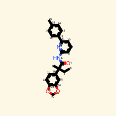 CCC(C)(C(=O)Nc1cccc(-c2ccc(C)cc2)n1)c1ccc2c(c1)OCO2